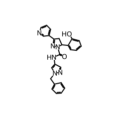 O=C(Nc1cnn(Cc2ccccc2)c1)N1N=C(c2cccnc2)CC1c1ccccc1O